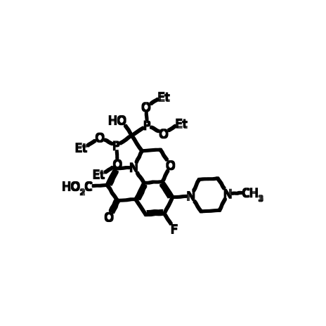 CCOP(OCC)C(O)(C1COc2c(N3CCN(C)CC3)c(F)cc3c(=O)c(C(=O)O)cn1c23)P(OCC)OCC